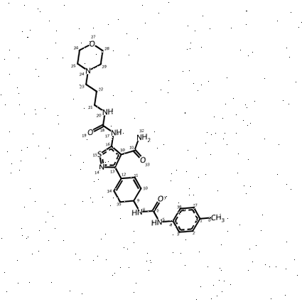 Cc1ccc(NC(=O)NC2C=CC(c3nsc(NC(=O)NCCCN4CCOCC4)c3C(N)=O)=CC2)cc1